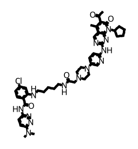 CC(=O)c1c(C)c2cnc(Nc3ccc(N4CCN(CC(=O)NCCCCCNc5cc(Cl)ccc5C(=O)Nc5ccc(N(C)C)nn5)CC4)cn3)nc2n(C2CCCC2)c1=O